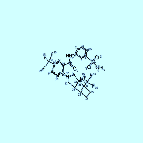 NS(=O)(=O)c1cc(NC(=O)c2cc(C(F)(F)F)cnc2N2CC3C4CCC4(C(F)(F)F)[C@H]3C2)ccn1